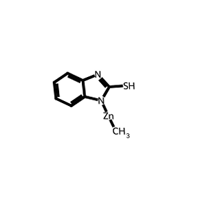 [CH3][Zn][n]1c(S)nc2ccccc21